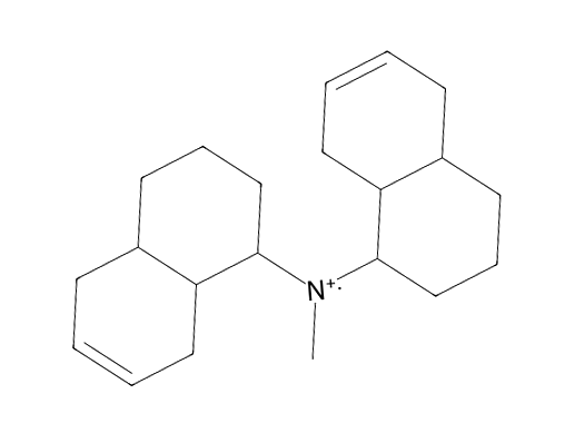 C[N+](C1CCCC2CC=CCC21)C1CCCC2CC=CCC21